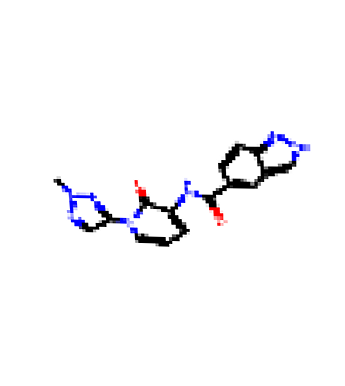 Cn1ncc(-n2cccc(NC(=O)c3ccc4n[nH]cc4c3)c2=O)n1